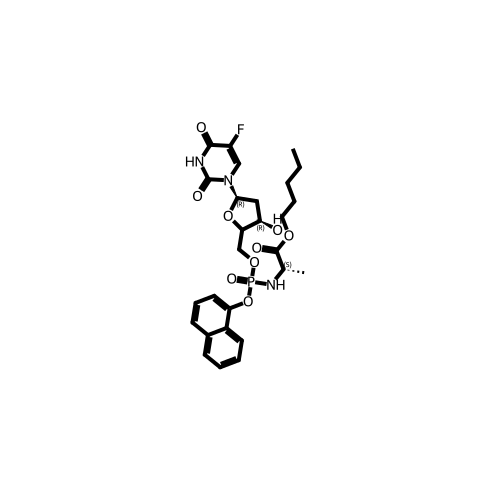 CCCCCOC(=O)[C@H](C)NP(=O)(OCC1O[C@@H](n2cc(F)c(=O)[nH]c2=O)C[C@H]1O)Oc1cccc2ccccc12